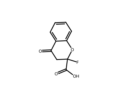 O=C1CC(F)(C(=O)O)Oc2ccccc21